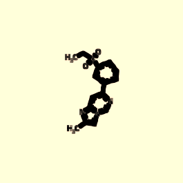 CCS(=O)(=O)c1cccc(-c2cc3nc(C)cn3[c]n2)c1